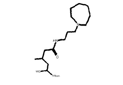 CCCCCCCCCC(O)CC(C)CC(=O)NCCCN1CCCCCC1